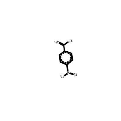 [CH]=C(CC)c1ccc(N(CC)CC)cc1